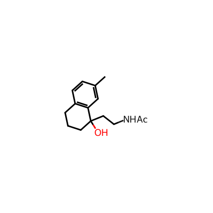 CC(=O)NCCC1(O)CCCc2ccc(C)cc21